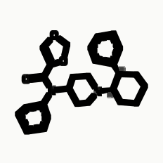 O=C(C1=COCO1)N(c1ccccc1)C1CCN([C@@H]2CCCC[C@@H]2c2ccccc2)CC1